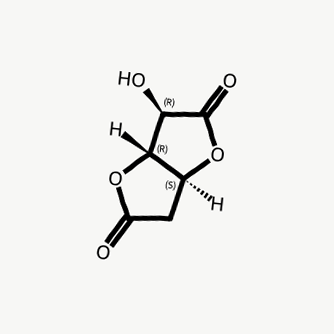 O=C1C[C@@H]2OC(=O)[C@H](O)[C@H]2O1